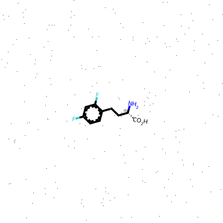 N[C@@H](CCc1ccc(F)cc1F)C(=O)O